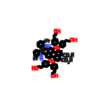 CC(C)c1cccc(C(C)C)c1NC(=O)c1cc(Oc2ccc(CCO)cc2)c2c3c(Oc4ccc(CCO)cc4)cc(C(=O)O)c4c(C(=O)O)cc(Oc5ccc(CCO)cc5)c(c5c(Oc6ccc(CCO)cc6)cc(C(=O)Nc6c(C(C)C)cccc6C(C)C)c1c25)c43